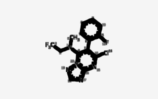 CN(CC(F)(F)F)c1c(-c2ccccc2F)c(Cl)nc2ncnn12